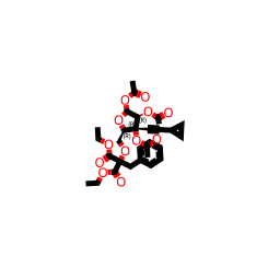 CCOC(=O)C(Cc1ccccc1)(OC[C@H]1OC(OC(C)=O)[C@H](OC(C)=O)[C@]1(C#CC1CC1)OC(C)=O)C(=O)OCC